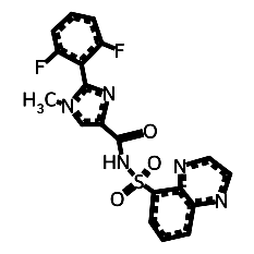 Cn1cc(C(=O)NS(=O)(=O)c2cccc3nccnc23)nc1-c1c(F)cccc1F